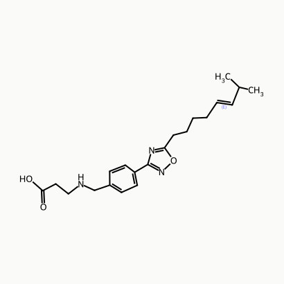 CC(C)/C=C/CCCCc1nc(-c2ccc(CNCCC(=O)O)cc2)no1